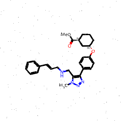 COC(=O)[C@H]1CCC[C@H](Oc2ccc(-c3nnn(C)c3CNCC=Cc3ccccc3)cc2)C1